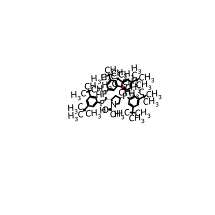 CC(C)(C)c1cc(PC(Pc2cc(C(C)(C)C)cc(C(C)(C)C)c2)[C@@H]2C[C@H](P(c3cc(C(C)(C)C)cc(C(C)(C)C)c3)c3cc(C(C)(C)C)cc(C(C)(C)C)c3)CN2C(=O)O)cc(C(C)(C)C)c1